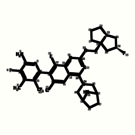 Cc1c(F)c(N)nc(-c2c(Cl)cc3c(N4CC5CCC(C4)N5)nc(OC[C@@]45CCCN4C[C@H](F)C5)nc3c2F)c1C(F)(F)F